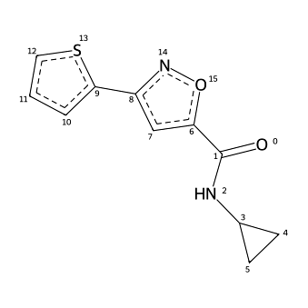 O=C(NC1CC1)c1cc(-c2cccs2)no1